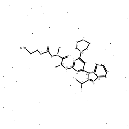 COCCNC(=O)CN(C)C(=O)[C@H](C)Nc1nc(N2CCOCC2)cc(-n2c(C(F)F)nc3ccccc32)n1